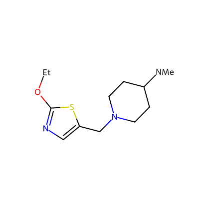 CCOc1ncc(CN2CCC(NC)CC2)s1